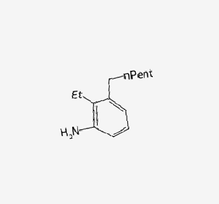 CCCCCCc1cccc(N)c1CC